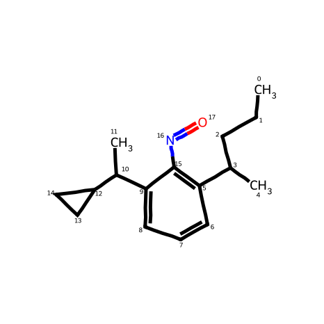 CCCC(C)c1cccc(C(C)C2CC2)c1N=O